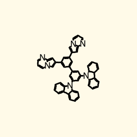 C1=CC2c3ccccc3N(c3cc(-c4cc(-c5cc6ncccn6c5)cc(-c5cc6ncccn6c5)c4)cc(-n4c5ccccc5c5ccccc54)c3)C2C=C1